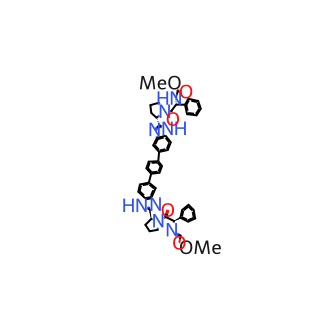 COO/C=N/[C@@H](C(=O)N1CCC[C@H]1c1nc2cc(-c3ccc(-c4ccc5[nH]c([C@@H]6CCCN6C(=O)[C@H](NC(=O)OC)c6ccccc6)nc5c4)cc3)ccc2[nH]1)c1ccccc1